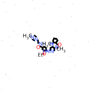 CCOc1cc(C(=O)NCCN2CCN(C)CC2)ccc1Nc1cc2c(cn1)N(C)C(=O)c1ccccc1N2C